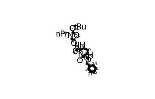 CCCN(CCONC(=O)[C@@H]1CC[C@@H]2CN1C(=O)N2OCc1ccccc1)C(=O)OC(C)(C)C